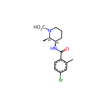 Cc1cc(Br)ccc1C(=O)N[C@@H]1CCCN(C(=O)O)[C@@H]1C